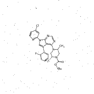 CC1CN(c2ncnc3c2c(-c2ccccc2F)cn3-c2cc(Cl)ccn2)C(C)CN1C(=O)OC(C)(C)C